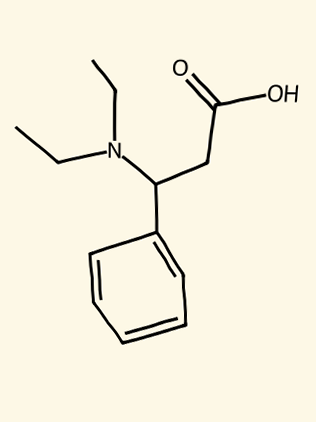 CCN(CC)C(CC(=O)O)c1ccccc1